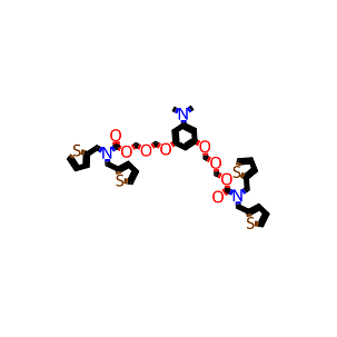 CN(C)c1cc(OCOCOC(=O)N(Cc2cccs2)Cc2cccs2)cc(OCOCOC(=O)N(Cc2cccs2)Cc2cccs2)c1